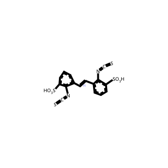 O=S(=O)(O)c1cccc(/C=C/c2cccc(S(=O)(=O)O)c2N=C=S)c1N=C=S